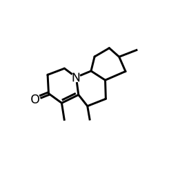 CC1=C2C(C)CC3CC(C)CCC3N2CCC1=O